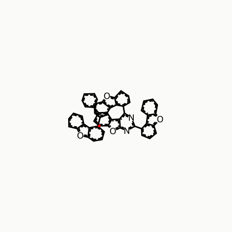 c1ccc(-c2ccc3oc4nc(-c5cccc6oc7ccccc7c56)nc(-c5cccc6oc7ccc(-c8cccc9oc%10ccccc%10c89)cc7c56)c4c3c2)cc1